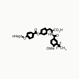 CCCCCCCOc1ccc(C(=O)Oc2ccc(C[C@H](NC(=O)c3ccc(OC)c(C(C)(F)F)c3)C(=O)O)cc2)cc1